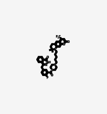 CC1(C)CCc2cc3c(C(F)(F)F)cc(=O)oc3cc2N1CCCCCN1CCN(C(=O)c2cc(Cc3n[nH]c(=O)c4ccccc34)ccc2F)CC1